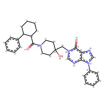 O=C(C1CCCCC1c1ccccc1)N1CCC(O)(Cn2cnc3c(ncn3-c3ccccc3)c2=O)CC1